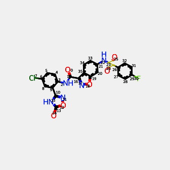 O=C(Nc1ccc(Cl)cc1-c1noc(=O)[nH]1)c1noc2cc(NS(=O)(=O)c3ccc(F)cc3)ccc12